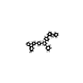 c1ccc(-c2cc(-c3ccc(-c4cccc5c4sc4ccccc45)cc3)cc(-c3ccc(-c4ccc5c6ccccc6c6ccccc6c5c4)cc3)n2)cc1